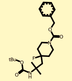 CC(C)(CC1(F)CCN(C(=O)OCc2ccccc2)CC1)NC(=O)OC(C)(C)C